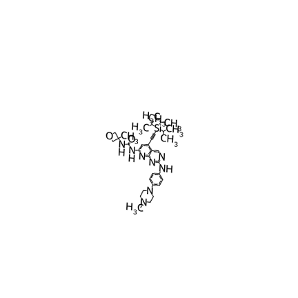 CC(C)[Si](C#Cc1cc(NC(=O)NC2(C)COC2)nc2nc(Nc3ccc(N4CCN(C)CC4)cc3)ncc12)(C(C)C)C(C)C